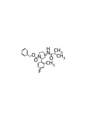 Cc1cc(F)ccc1C1C[C@@H](NC(=O)C(C)C)CCN1C(=O)OCc1ccccc1